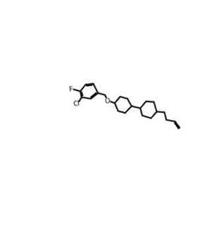 C=CCCC1CCC(C2CCC(OCc3ccc(F)c(Cl)c3)CC2)CC1